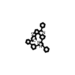 c1ccc(-c2cccc(-c3nc(-c4ccccc4)cc(-c4ccc5nc(-c6ccccc6)c6ccc7sc8ccccc8c7c6c5c4)n3)c2)cc1